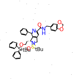 CC(C)(C)[S+]([O-])N1Cc2cc(C(=O)NCc3ccc4c(c3)OCO4)nc(-c3ccccc3)c2[C@H]1CCO[Si](c1ccccc1)(c1ccccc1)C(C)(C)C